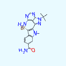 Cn1c(-c2nn(C(C)(C)C)c3ncnc(N)c23)c(Br)c2ccc(C(N)=O)cc21